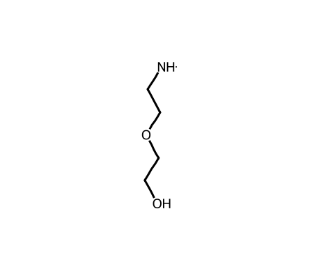 [NH]CCOCCO